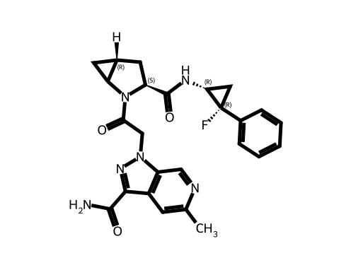 Cc1cc2c(C(N)=O)nn(CC(=O)N3C4C[C@@H]4C[C@H]3C(=O)N[C@@H]3C[C@@]3(F)c3ccccc3)c2cn1